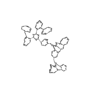 c1ccc(-c2ccccc2-c2nc(-c3ccc(-n4c5ccc(-n6c7ccccc7c7ccccc76)cc5c5cc6ccccc6cc54)cc3)nc(-c3ccccc3-c3ccccc3)n2)cc1